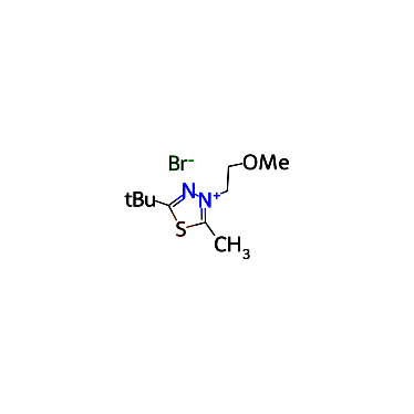 COCC[n+]1nc(C(C)(C)C)sc1C.[Br-]